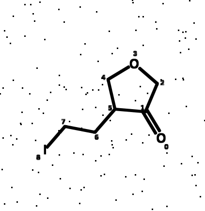 O=C1COCC1CCI